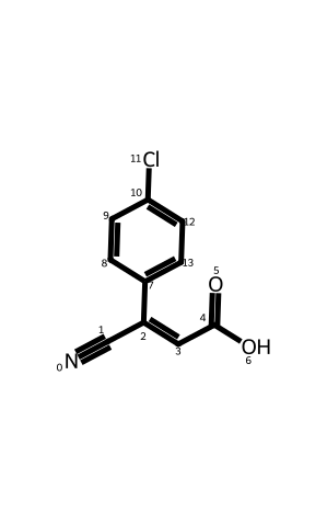 N#C/C(=C/C(=O)O)c1ccc(Cl)cc1